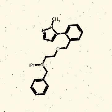 CC(C)N(CCOCc1ccccc1-c1ccnn1C)Cc1ccccc1